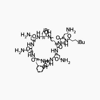 CCC(C)CCC(=O)N[C@H](CCN)C(=O)N[C@H]1CCNC(=O)[C@H](CC(C)C)NC(=O)[C@H](CCN)NC(=O)[C@H](CCN)NC(=O)[C@@H](Cc2ccccc2)NC(=O)[C@H](CC(C)C)NC(=O)[C@H](CCN)NC1=O